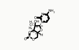 C[C@@]1(O)[C@@H]2O[PH](=O)OC[C@H]2O[C@H]1n1ccc(N)nc1=O